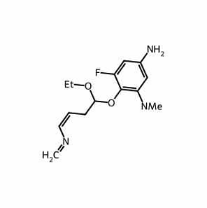 C=N/C=C\CC(OCC)Oc1c(F)cc(N)cc1NC